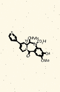 COc1cc2c(cc1O)N(C(=O)O)C(OC)[C@@H]1CC(c3ccsc3)=CCN1C2=O